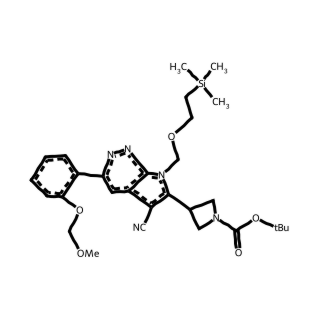 COCOc1ccccc1-c1cc2c(C#N)c(C3CN(C(=O)OC(C)(C)C)C3)n(COCC[Si](C)(C)C)c2nn1